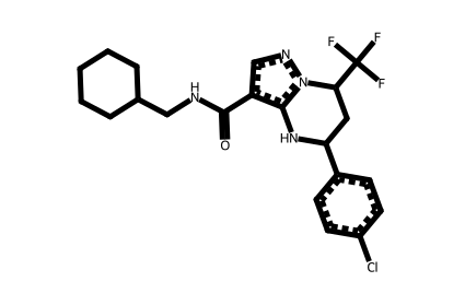 O=C(NCC1CCCCC1)c1cnn2c1NC(c1ccc(Cl)cc1)CC2C(F)(F)F